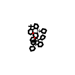 CC1(C)c2ccccc2-c2c(N(c3ccccc3)c3cccc([Si](c4ccccc4)(c4ccccc4)c4ccccc4N(c4ccccc4)c4ccccc4)c3)cccc21